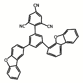 N#Cc1cc(C#N)c(-c2cc(-c3ccc4oc5ccccc5c4c3)cc(-c3cccc4c3oc3ccccc34)c2)c(C#N)c1